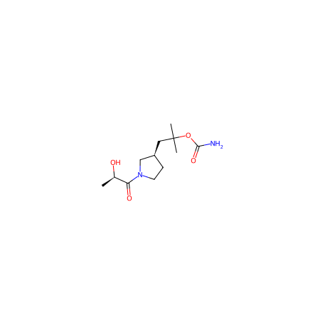 C[C@@H](O)C(=O)N1CC[C@H](CC(C)(C)OC(N)=O)C1